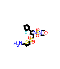 NCc1ccc(S(=O)(=O)CC2CC(c3ccccc3F)CN2S(=O)(=O)N2CCOCC2)s1